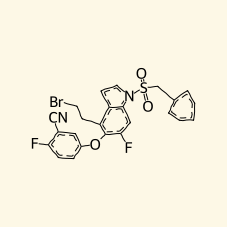 N#Cc1cc(Oc2c(F)cc3c(ccn3S(=O)(=O)Cc3ccccc3)c2CCBr)ccc1F